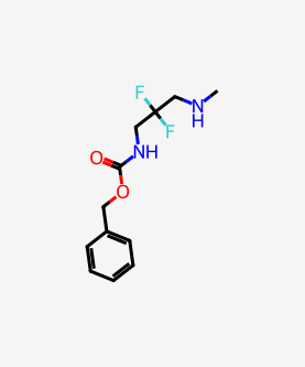 CNCC(F)(F)CNC(=O)OCc1ccccc1